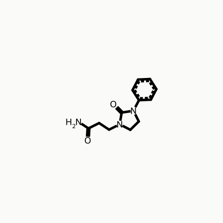 NC(=O)CCN1CCN(c2ccccc2)C1=O